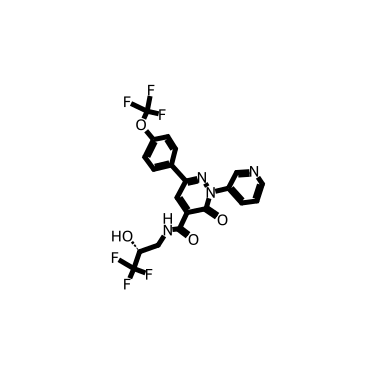 O=C(NC[C@@H](O)C(F)(F)F)c1cc(-c2ccc(OC(F)(F)F)cc2)nn(-c2cccnc2)c1=O